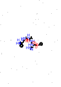 CC(C)[C@H](NC(=O)[C@H](C)NC(=O)[C@@H](N)Cc1c[nH]c2ccccc12)C(=O)NCC(=O)N[C@@H](Cc1c[nH]cn1)C(=O)C(=O)OCc1ccccc1